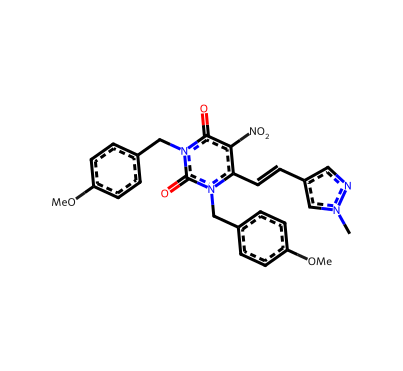 COc1ccc(Cn2c(/C=C/c3cnn(C)c3)c([N+](=O)[O-])c(=O)n(Cc3ccc(OC)cc3)c2=O)cc1